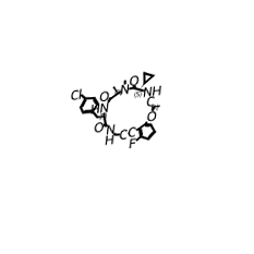 C[C@@H]1CN[C@@H](C2CC2)C(=O)N(C)[C@H](C)C(=O)N[C@H](Cc2ccc(Cl)cc2)C(=O)NCCCc2c(F)cccc2O1